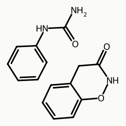 NC(=O)Nc1ccccc1.O=C1Cc2ccccc2ON1